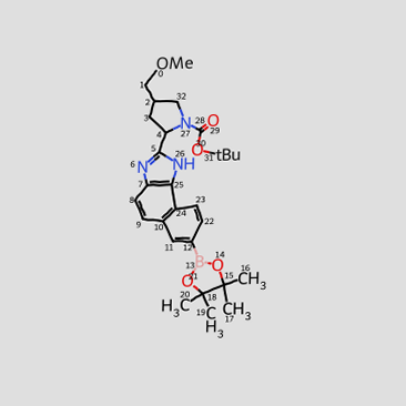 COCC1CC(c2nc3ccc4cc(B5OC(C)(C)C(C)(C)O5)ccc4c3[nH]2)N(C(=O)OC(C)(C)C)C1